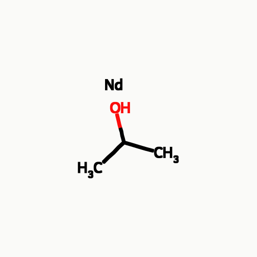 CC(C)O.[Nd]